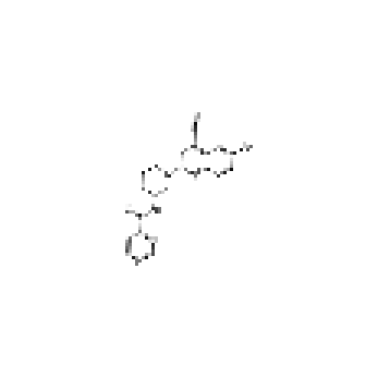 N#Cc1cc(N2CCC[C@H](NC(=O)c3ccncn3)C2)nc2ccc(Br)cc12